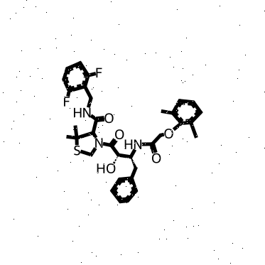 Cc1cccc(C)c1OCC(=O)N[C@@H](Cc1ccccc1)[C@H](O)C(=O)N1CSC(C)(C)C1C(=O)NCc1c(F)cccc1F